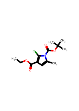 CCOC(=O)c1cc(C)n(C(=O)OC(C)(C)C)c1Cl